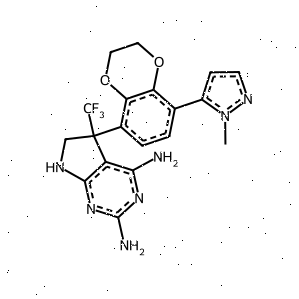 Cn1nccc1-c1ccc(C2(C(F)(F)F)CNc3nc(N)nc(N)c32)c2c1OCCO2